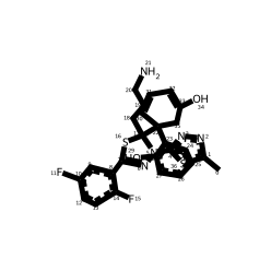 Cc1nnc(N2N=C(c3cc(F)ccc3F)SC2(CCCN)C2(c3ccccc3O)C=CC=C(O)C2)s1